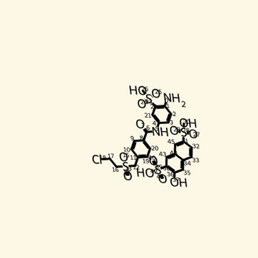 Nc1ccc(NC(=O)c2ccc(CS(=O)(=O)CCCl)cc2)cc1S(=O)(=O)O.O=S(=O)(O)c1ccc2cc(O)c(S(=O)(=O)O)cc2c1